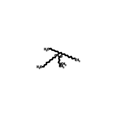 C=CCCCCC(CCCCCCCCCC)N(OCCCCCCCCCC)C(=O)CCCN(C)C